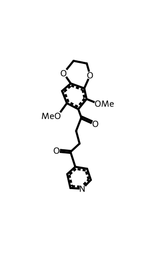 COc1cc2c(c(OC)c1C(=O)CCC(=O)c1ccncc1)OCCO2